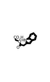 O=C(O)COC(=O)Cc1cc2ccccc2[nH]1